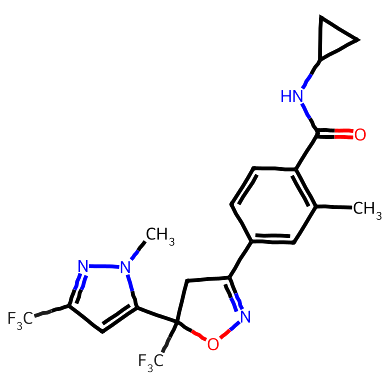 Cc1cc(C2=NOC(c3cc(C(F)(F)F)nn3C)(C(F)(F)F)C2)ccc1C(=O)NC1CC1